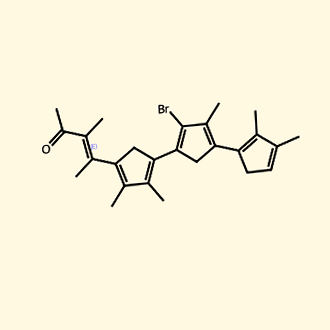 CC(=O)/C(C)=C(\C)C1=C(C)C(C)=C(C2=C(Br)C(C)=C(C3=C(C)C(C)=CC3)C2)C1